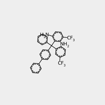 Nc1ccc(C(F)(F)F)cc1C(c1ccccc1)(c1ccc(-c2ccccc2)cc1)c1cc(C(F)(F)F)ccc1N